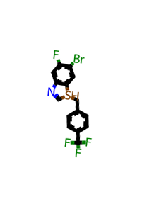 Fc1cc2c(cc1Br)[SH](Cc1ccc(C(F)(F)F)cc1)C=N2